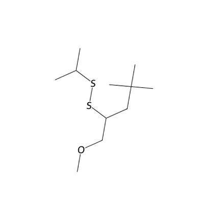 COCC(CC(C)(C)C)SSC(C)C